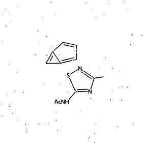 CC(=O)Nc1nc(C)ns1.c1cc2cc-2c1